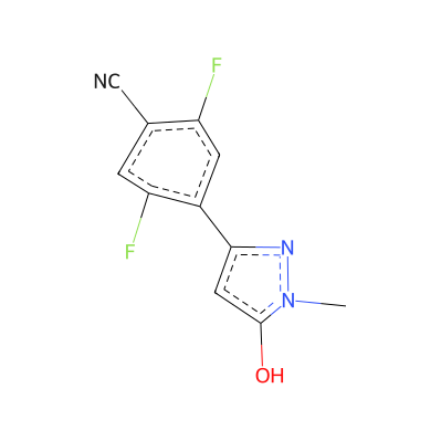 Cn1nc(-c2cc(F)c(C#N)cc2F)cc1O